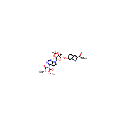 CNC(=O)c1cnc2cc(OC[C@H]3O[C@@H](n4ccc5c(N(C(=O)OC(C)(C)C)C(=O)OC(C)(C)C)ncnc54)[C@@H]4OC(C)(C)O[C@@H]43)ccc2c1